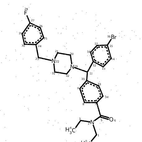 CCN(CC)C(=O)c1ccc(C(c2ccc(Br)cc2)N2CCN(Cc3ccc(F)cc3)CC2)cc1